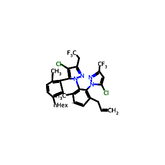 C=CCc1c[c]c(C)c(-n2nc(CC(F)(F)F)c(Cl)c2-c2cc(CCCCCC)ccc2C)c1-n1nc(C(F)(F)F)cc1Cl